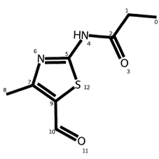 CCC(=O)Nc1nc(C)c(C=O)s1